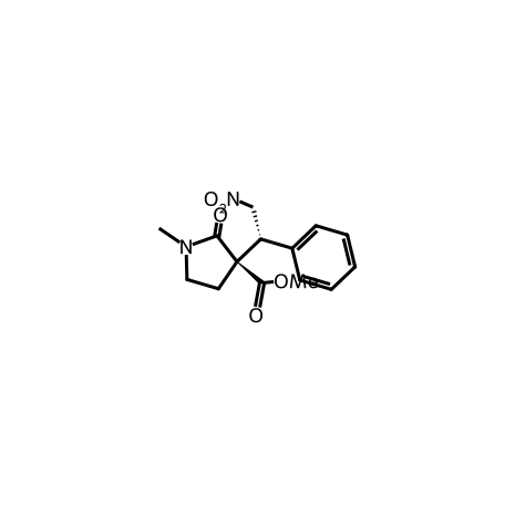 COC(=O)[C@@]1([C@H](C[N+](=O)[O-])c2ccccc2)CCN(C)C1=O